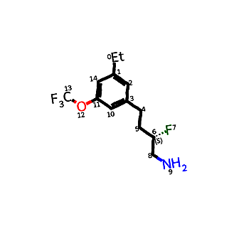 CCc1cc(CC[C@H](F)CN)cc(OC(F)(F)F)c1